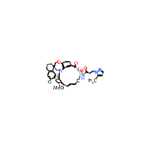 CO[C@H]1/C=C/CCCS(=O)(NC(=O)CCn2nccc2C)=NC(=O)c2ccc3c(c2)N(C[C@@H]2CC[C@H]21)C[C@@]1(CCCc2cc(Cl)ccc21)CO3